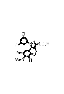 COc1c(Br)cc2c(c1Cl)OCc1c(C(=O)O)nn(-c3cc(Cl)cc(Cl)c3)c1-2